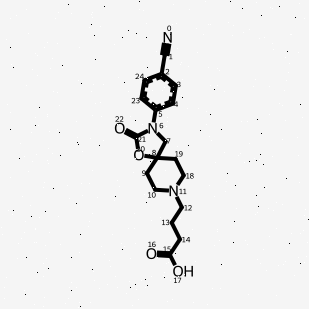 N#Cc1ccc(N2CC3(CCN(CCCC(=O)O)CC3)OC2=O)cc1